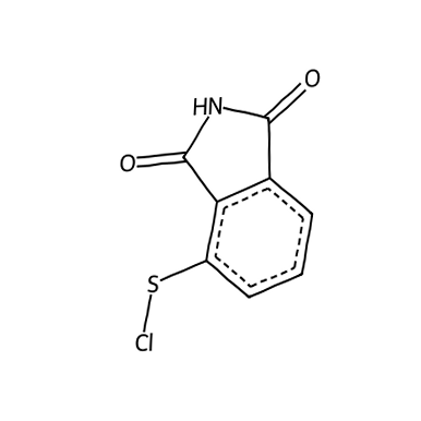 O=C1NC(=O)c2c(SCl)cccc21